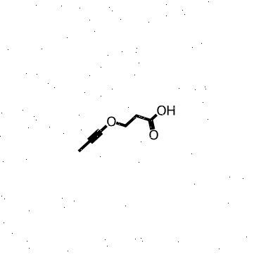 CC#COCCC(=O)O